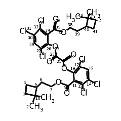 CC1(C)CCC1CCOC(=O)c1c(Cl)c(Cl)cc(Cl)c1OC(=O)C(=O)Oc1c(Cl)cc(Cl)c(Cl)c1C(=O)OCCC1CCC1(C)C